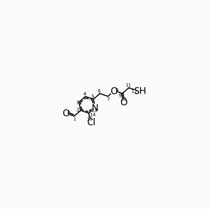 O=Cc1ccc(CCOC(=O)CS)nc1Cl